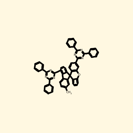 Cc1ccc2c(c1)C1(c3ccccc3Oc3cc(-c4nc(-c5ccccc5)nc(-c5ccccc5)n4)ccc31)c1cccc(-c3nc(-c4ccccc4)nc(-c4ccccc4)n3)c1-2